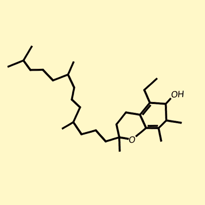 CCC1=C2CCC(C)(CCCC(C)CCCC(C)CCCC(C)C)OC2=C(C)C(C)C1O